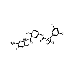 Nc1cc(NC(=O)c2cc(NC(=O)[C@H]3C(c4cc(Cl)cc(Cl)c4)C3(Cl)Cl)ccc2Cl)c(F)cc1F